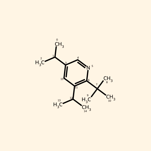 CC(C)c1cnc(C(C)(C)C)c(C(C)C)c1